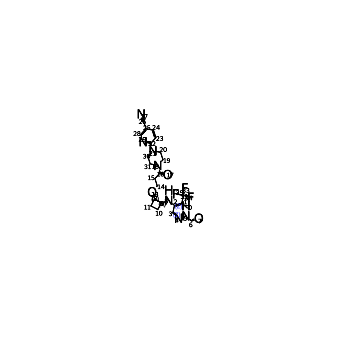 C/C(=C(\C=N/NC=O)N[C@@H]1CC[C@@H]1OCCC(=O)N1CCN(c2ccc(C#N)cn2)CC1)C(F)(F)F